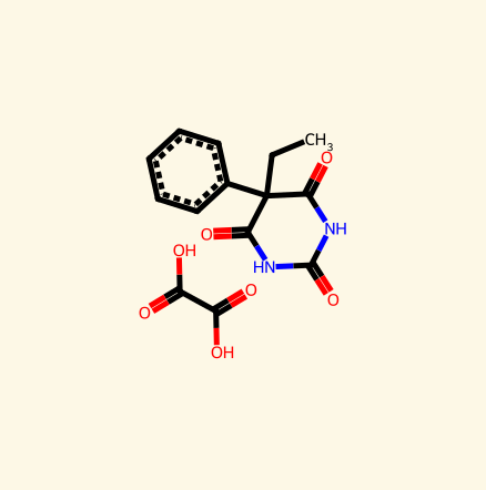 CCC1(c2ccccc2)C(=O)NC(=O)NC1=O.O=C(O)C(=O)O